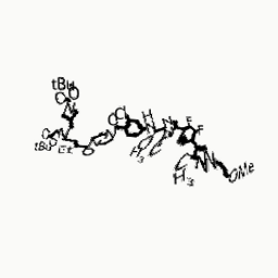 CCC(CCN(CC(=O)OC(C)(C)C)CC1CN(C(=O)OC(C)(C)C)C1)C(=O)N1CCN(C(=O)c2ccc(NC(=O)c3ncc(-c4ccc(-c5cn(CCOC)nc5C)c(F)c4F)n3C)cc2Cl)CC1